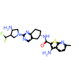 Cc1ccc2c(N)c(C(=O)N[C@H]3CCc4nc(N5CC(C(F)F)[C@@H](N)C5)ncc4C3)sc2n1